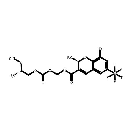 CCc1cc(S(F)(F)(F)(F)F)cc2c1O[C@H](C(F)(F)F)C(C(=O)OCOC(=O)OC[C@H](C)O[N+](=O)[O-])=C2